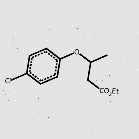 CCOC(=O)CC(C)Oc1ccc(Cl)cc1